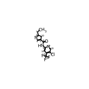 CCC1=NC=C(C(=O)Nc2cc(C(F)(F)F)c(Cl)cn2)C1